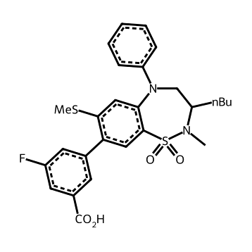 CCCCC1CN(c2ccccc2)c2cc(SC)c(-c3cc(F)cc(C(=O)O)c3)cc2S(=O)(=O)N1C